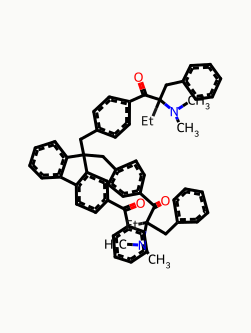 CCC(Cc1ccccc1)(C(=O)c1ccc(CC2(Cc3ccc(C(=O)C(CC)(Cc4ccccc4)N(C)C)cc3)c3ccccc3-c3ccc(C(=O)c4ccccc4)cc32)cc1)N(C)C